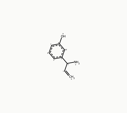 C=CC(N)c1cccc(O)c1